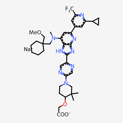 COCC1(CN(C)c2cc(-c3cc(C4CC4)nc(C(F)(F)F)c3)nc3nc(-c4cnc(N5CCC(OCC(=O)[O-])C(C)(C)C5)cn4)[nH]c23)CCCCC1.[Na+]